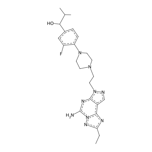 CCc1nc2c3cnn(CCN4CCN(c5ccc(C(O)C(C)C)cc5F)CC4)c3nc(N)n2n1